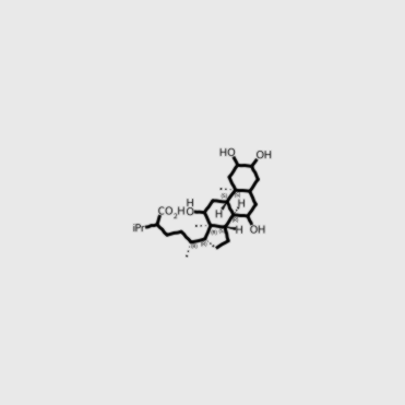 CC(C)C(CC[C@@H](C)[C@H]1CC[C@H]2[C@@H]3C(O)CC4CC(O)C(O)C[C@]4(C)[C@H]3CC(O)[C@]12C)C(=O)O